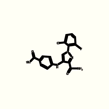 CC(C)(C)C(=O)c1ccc(Nc2cn(-c3c(F)cccc3Cl)nc2C(N)=O)cc1